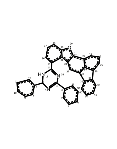 c1ccc(C2=NC(c3ccccc3)NC(c3cccc4oc5c6cccc7c6c(cc5c34)-c3ccccc3-7)=N2)cc1